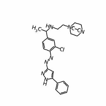 CC(NCC[N+]12CCN(CC1)CC2)c1ccc(N=Nc2cc(-c3ccccc3)[nH]n2)c(Cl)c1